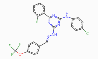 Fc1ccccc1-c1nc(NN=Cc2ccc(OC(F)(F)F)cc2)nc(Nc2ccc(Cl)cc2)n1